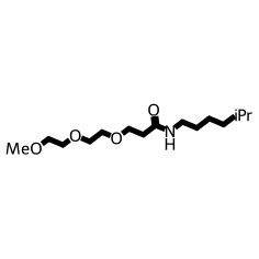 COCCOCCOCCC(=O)NCCCCC(C)C